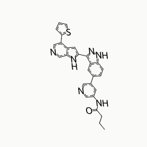 CCCC(=O)Nc1cncc(-c2ccc3[nH]nc(-c4cc5c(-c6cccs6)cncc5[nH]4)c3c2)c1